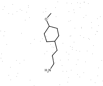 COC1CCC(CCCN)CC1